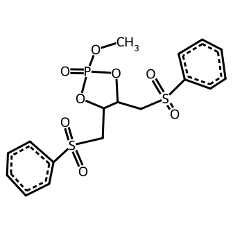 COP1(=O)OC(CS(=O)(=O)c2ccccc2)C(CS(=O)(=O)c2ccccc2)O1